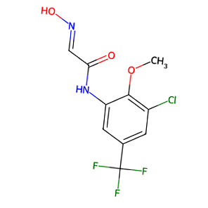 COc1c(Cl)cc(C(F)(F)F)cc1NC(=O)/C=N/O